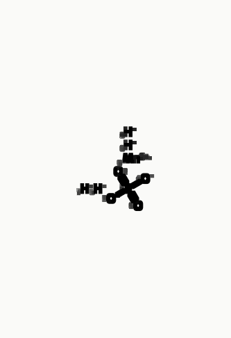 O=S(=O)([O-])[O-].[H-].[H-].[H-].[H-].[Mn+6]